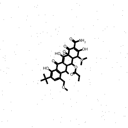 CCC(=O)OC1C2C(=C(O)C3(O)C(=O)C(C(N)=O)=C(O)C(N(C)C)C13)C(=O)c1c(O)c(C(C)(C)C)cc(COC)c1C2C